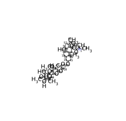 C/C=C(\C)C(=O)OC1CC2C(CC=C3CC(OC4C[C@H](O[C@H]5CC(OC)[C@H](O[C@@H]6OC(C)[C@@H](O)C(OC)C6O)C(C)O5)C(C)O4)CCC32C)C2(O)CCC(C(C)=O)C12C